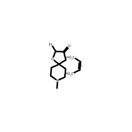 CCC1OC2(CCN(C)CC2)CC1=O.O=C(O)/C=C\C(=O)O